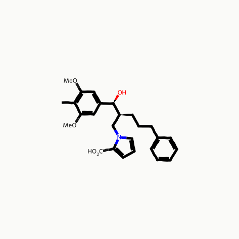 COc1cc([C@@H](O)[C@@H](CCCc2ccccc2)Cn2cccc2C(=O)O)cc(OC)c1C